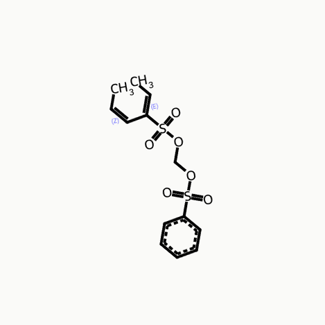 C/C=C\C(=C/C)S(=O)(=O)OCOS(=O)(=O)c1ccccc1